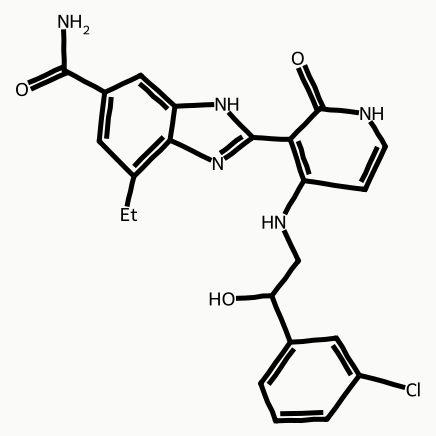 CCc1cc(C(N)=O)cc2[nH]c(-c3c(NCC(O)c4cccc(Cl)c4)cc[nH]c3=O)nc12